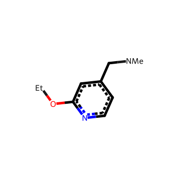 CCOc1cc(CNC)ccn1